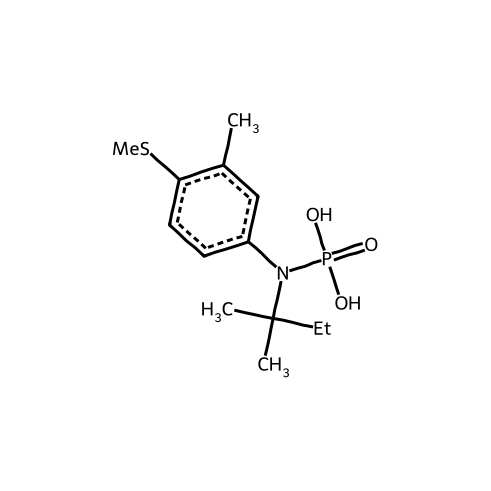 CCC(C)(C)N(c1ccc(SC)c(C)c1)P(=O)(O)O